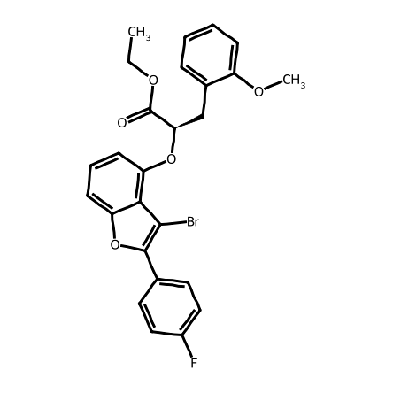 CCOC(=O)[C@@H](Cc1ccccc1OC)Oc1cccc2oc(-c3ccc(F)cc3)c(Br)c12